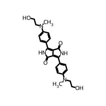 CN(CCO)c1ccc(C2=C3C(=O)NC(c4ccc(N(C)CCO)cc4)=C3C(=O)N2)cc1